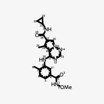 CONC(=O)c1ccc(C)c(Nc2ncnn3cc(C(=O)NC4CC4)c(C)c23)c1